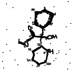 COC(=O)C(O)(c1ccccc1)[C@H]1CCCCN1